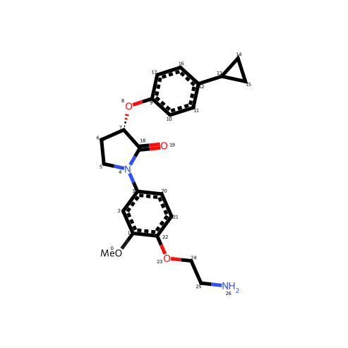 COc1cc(N2CC[C@H](Oc3ccc(C4CC4)cc3)C2=O)ccc1OCCN